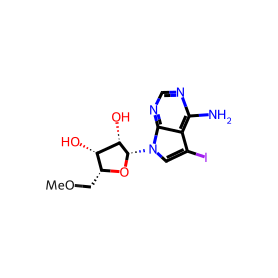 COC[C@H]1O[C@@H](n2cc(I)c3c(N)ncnc32)[C@@H](O)[C@H]1O